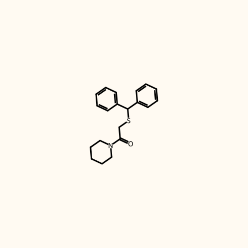 O=C(CSC(c1ccccc1)c1ccccc1)N1CCCCC1